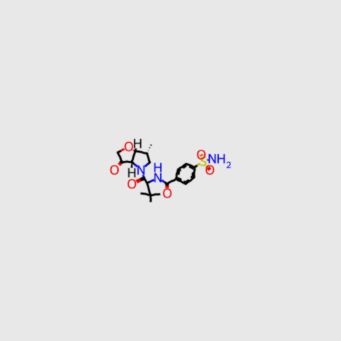 C[C@@H]1CN(C(=O)C(NC(=O)c2ccc(S(N)(=O)=O)cc2)C(C)(C)C)[C@@H]2C(=O)CO[C@H]12